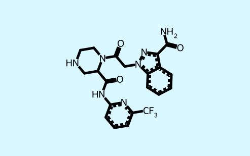 NC(=O)c1nn(CC(=O)N2CCNCC2C(=O)Nc2cccc(C(F)(F)F)n2)c2ccccc12